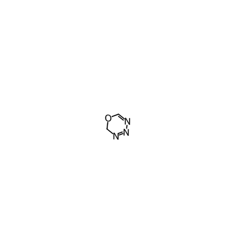 C1=NN=NCO1